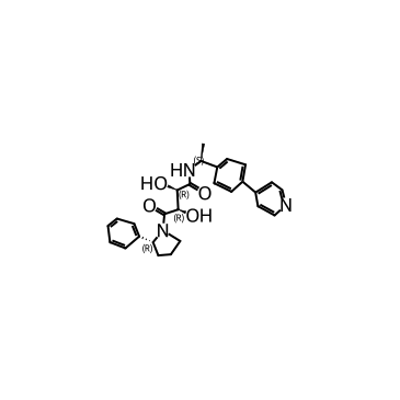 C[C@H](NC(=O)[C@H](O)[C@@H](O)C(=O)N1CCC[C@@H]1c1ccccc1)c1ccc(-c2ccncc2)cc1